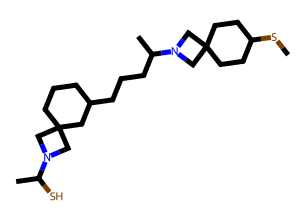 CSC1CCC2(CC1)CN(C(C)CCCC1CCCC3(C1)CN(C(C)S)C3)C2